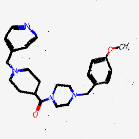 COc1ccc(CN2CCN(C(=O)C3CCN(Cc4ccncc4)CC3)CC2)cc1